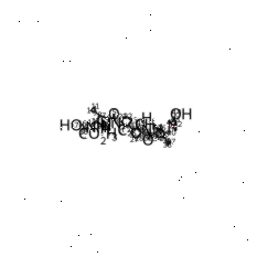 Cc1c(NC(=O)c2cc(C3CC3)c(CN[C@H](CO)C(=O)O)cn2)cccc1-c1cccc(NC(=O)c2cc(C3CC3)c(CN3CC(O)C3)cn2)c1C